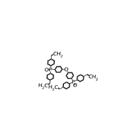 C=Cc1ccc(P(=O)(c2ccc(C=C)cc2)c2ccc(Oc3ccc(P(=O)(c4ccc(C=C)cc4)c4ccc(C=C)cc4)cc3)cc2)cc1